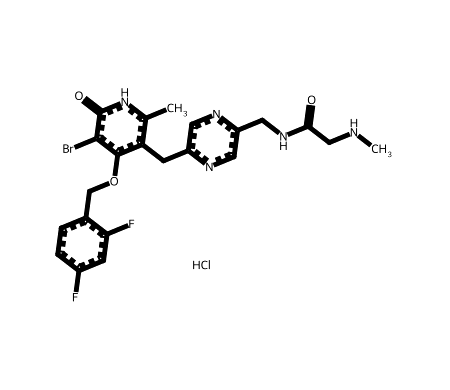 CNCC(=O)NCc1cnc(Cc2c(C)[nH]c(=O)c(Br)c2OCc2ccc(F)cc2F)cn1.Cl